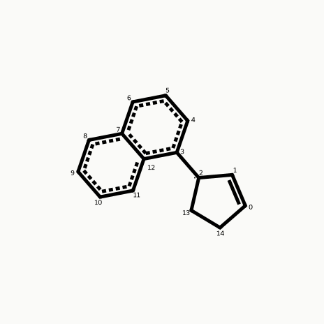 C1=C[C](c2cccc3ccccc23)CC1